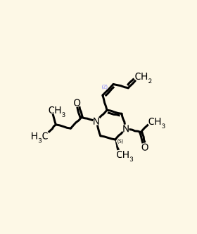 C=C/C=C\C1=CN(C(C)=O)[C@@H](C)CN1C(=O)CC(C)C